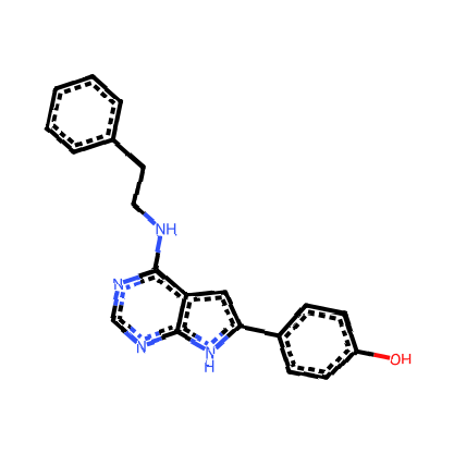 Oc1ccc(-c2cc3c(NCCc4ccccc4)ncnc3[nH]2)cc1